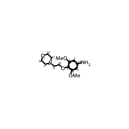 COc1cc(N)cc(OC)c1OCCN1CCOCC1